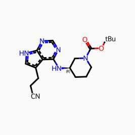 CC(C)(C)OC(=O)N1CCC[C@@H](Nc2ncnc3[nH]cc(CCC#N)c23)C1